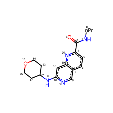 CCCNC(=O)c1ccc2cnc(NC3CCOCC3)cc2n1